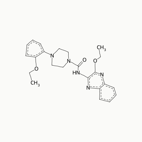 CCOc1ccccc1N1CCN(C(=O)Nc2nc3ccccc3nc2OCC)CC1